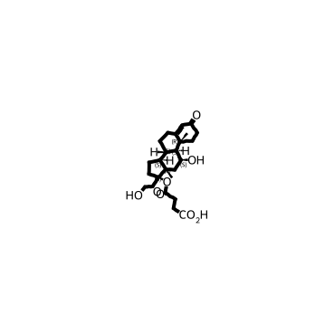 C[C@]12CCC(=O)C=C1CC[C@@H]1[C@@H]2[C@@H](O)C[C@@]2(C)[C@H]1CC[C@@]2(OC(=O)CCC(=O)O)C(=O)CO